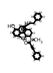 CN(C(=O)C#Cc1ccccc1)[C@H]1CC[C@H]2[C@H]3Cc4c(O)ccc5c4[C@@]2(CCN3CCc2ccccc2)[C@H]1O5